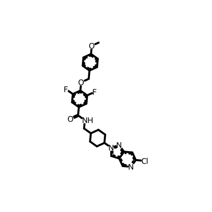 COc1ccc(COc2c(F)cc(C(=O)NCC3CCC(n4cc5cnc(Cl)cc5n4)CC3)cc2F)cc1